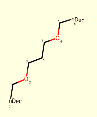 CCCCCCCCCCCOCCCOCCCCCCCCCCC